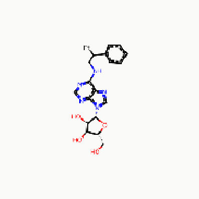 CCC(CNc1ncnc2c1ncn2[C@@H]1O[C@H](CO)[C@@H](O)[C@H]1O)c1ccccc1